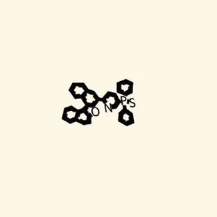 S=P(c1ccccc1)(c1ccccc1)c1ccc(-c2cc3ccccc3c3c2oc2ccc4ccccc4c23)nc1